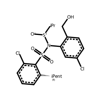 CCC[C@@H](C)c1cccc(Cl)c1S(=O)(=O)N(c1cc(Cl)ccc1CO)[S+]([O-])C(C)C